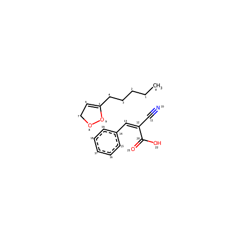 CCCCCC1=CCOO1.N#CC(=Cc1ccccc1)C(=O)O